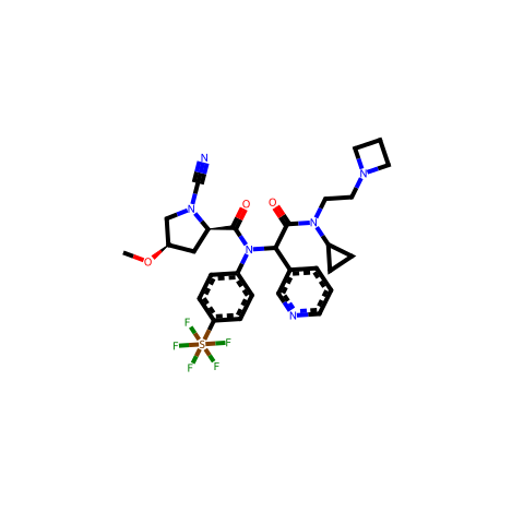 CO[C@@H]1C[C@H](C(=O)N(c2ccc(S(F)(F)(F)(F)F)cc2)C(C(=O)N(CCN2CCC2)C2CC2)c2cccnc2)N(C#N)C1